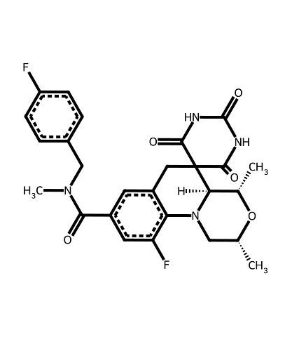 C[C@@H]1CN2c3c(F)cc(C(=O)N(C)Cc4ccc(F)cc4)cc3CC3(C(=O)NC(=O)NC3=O)[C@H]2[C@H](C)O1